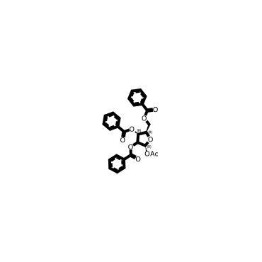 CC(=O)O[C@H]1O[C@H](COC(=O)c2ccccc2)[C@@H](OC(=O)c2ccccc2)C1OC(=O)c1ccccc1